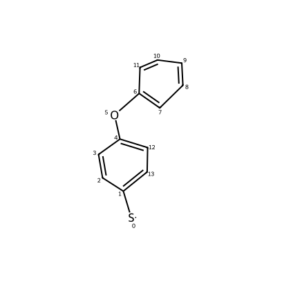 [S]c1ccc(Oc2ccccc2)cc1